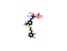 NC(CO)(CCc1ccc(OCCCc2cccc(Cl)c2Cl)c(C(F)(F)F)c1)COP(=O)(O)O